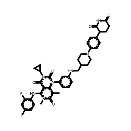 Cc1c(=O)n(C)c(Nc2ccc(I)cc2F)c2c(=O)n(C3CC3)c(=O)n(-c3cccc(NCC4CCN(c5ccc(C6CCC(=O)NC6=O)cc5)CC4)c3)c12